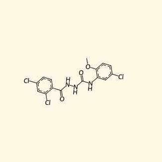 COc1ccc(Cl)cc1NC(=O)NNC(=O)c1ccc(Cl)cc1Cl